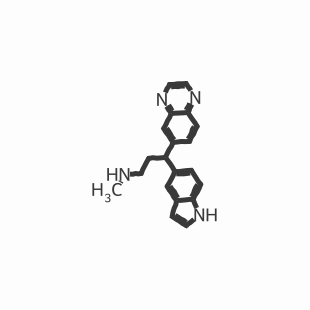 CNCCC(c1ccc2[nH]ccc2c1)c1ccc2nccnc2c1